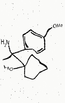 COc1ccc(C(C)(N)C2(O)CCCCC2)cc1